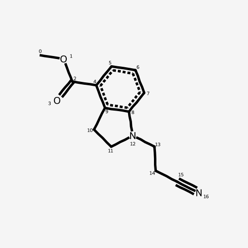 COC(=O)c1cccc2c1CCN2CCC#N